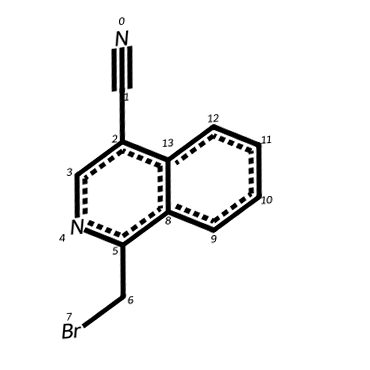 N#Cc1cnc(CBr)c2ccccc12